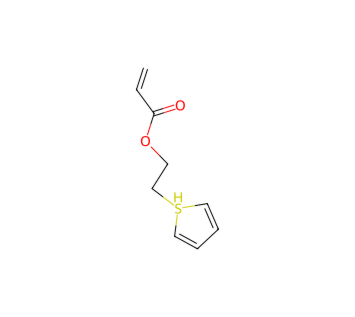 C=CC(=O)OCC[SH]1C=CC=C1